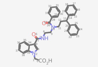 O=C(O)Cn1cc(C(=O)NCCN(CCC(c2ccccc2)c2ccccc2)C(=O)c2ccccc2)c2ccccc21